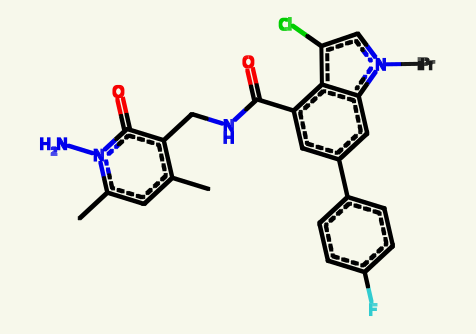 Cc1cc(C)n(N)c(=O)c1CNC(=O)c1cc(-c2ccc(F)cc2)cc2c1c(Cl)cn2C(C)C